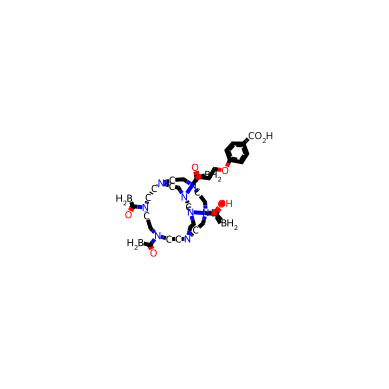 BC(=O)N1CCN2CCN(CCCOc3ccc(C(=O)O)cc3)CCN(B(C)O)CCN(CCN(C(B)=O)CC1)CCN(C(B)=O)CCN(C(B)=O)CC2